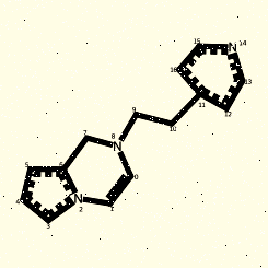 C1=Cn2cccc2CN1CCc1ccncc1